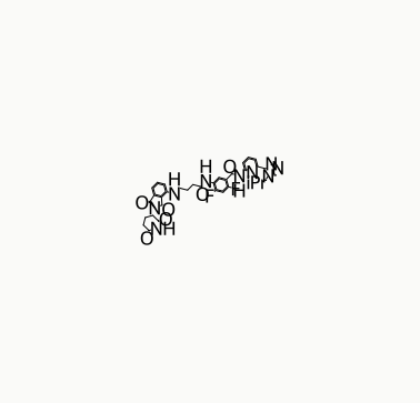 CC(C)n1cnnc1-c1cccc(NC(=O)c2cc(NC(=O)CCCNc3cccc4c3C(=O)N(C3CCC(=O)NC3=O)C4=O)c(F)cc2F)n1